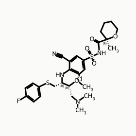 CO[C@H](CN(C)C)[C@H](CSc1ccc(F)cc1)Nc1c(Cl)cc(S(=O)(=O)NC(=O)[C@@]2(C)CCCCO2)cc1C#N